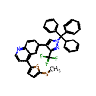 CSc1ccc(-c2ccnc3ccc(-c4cn(C(c5ccccc5)(c5ccccc5)C5C=CC=CC5)nc4C(F)(F)F)cc23)s1